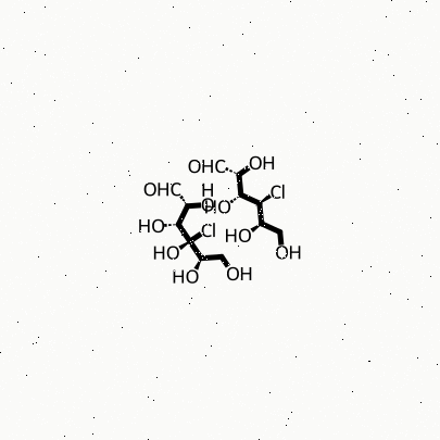 O=C[C@H](O)[C@@H](O)[C@@H](Cl)[C@H](O)CO.O=C[C@H](O)[C@@H](O)[C@](O)(Cl)[C@H](O)CO